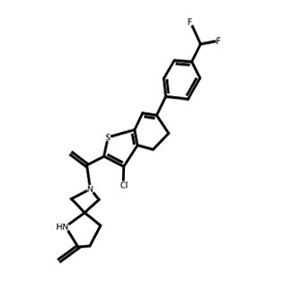 C=C1CCC2(CN(C(=C)c3sc4c(c3Cl)CCC(c3ccc(C(F)F)cc3)=C4)C2)N1